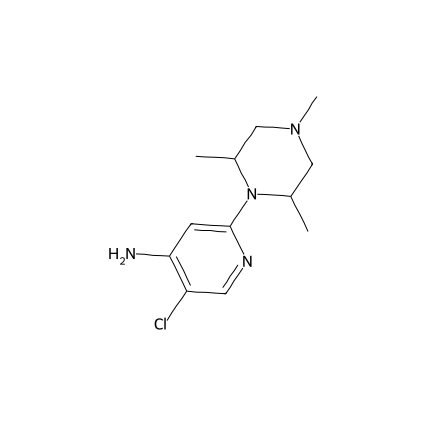 CC1CN(C)CC(C)N1c1cc(N)c(Cl)cn1